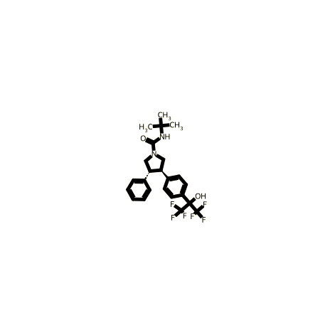 CC(C)(C)NC(=O)N1C[C@@H](c2ccccc2)[C@H](c2ccc(C(O)(C(F)(F)F)C(F)(F)F)cc2)C1